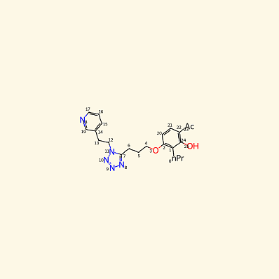 CCCc1c(OCCCc2nnnn2CCc2cccnc2)ccc(C(C)=O)c1O